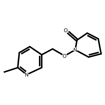 Cc1ccc(COn2ccccc2=O)cn1